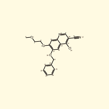 COCCOc1cc2ncc(C#N)c(Cl)c2cc1OCc1ccccc1